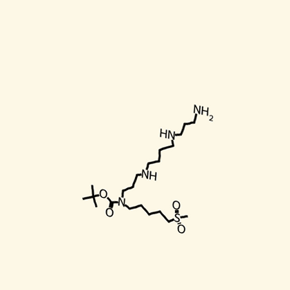 CC(C)(C)OC(=O)N(CCCCCS(C)(=O)=O)CCCNCCCCNCCCN